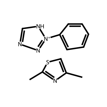 Cc1csc(C)n1.c1ccc(-[n+]2nnc[nH]2)cc1